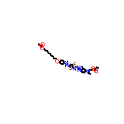 C=CC(=O)OCCCCCCCCCOc1ccc(/N=N/c2cc3sc(/N=N/c4ccc(N(CC)CCOC(=O)C=C)cc4C)nc3s2)cc1